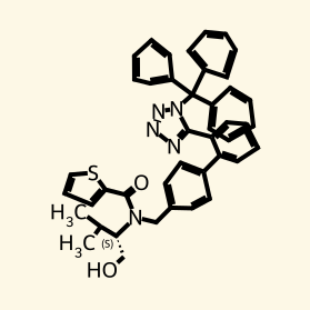 CC(C)[C@@H](CO)N(Cc1ccc(-c2ccccc2-c2nnnn2C(c2ccccc2)(c2ccccc2)c2ccccc2)cc1)C(=O)c1cccs1